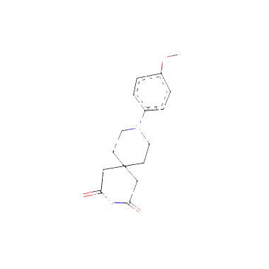 O=C1CC2(CCN(c3ccc(OC(F)(F)F)cc3)CC2)CC(=O)N1